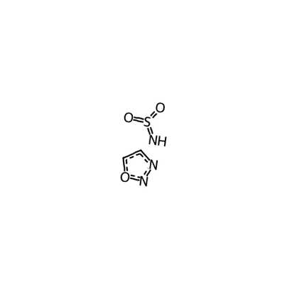 N=S(=O)=O.c1conn1